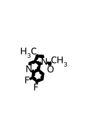 CC(=O)n1cc(C)c2cnc3c(F)c(F)ccc3c21